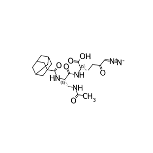 CC(=O)NC[C@H](NC(=O)C12CC3CC(CC(C3)C1)C2)C(=O)N[C@@H](CCC(=O)C=[N+]=[N-])C(=O)O